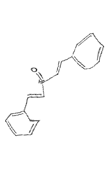 O=[PH](C=Cc1ccccc1)C=Cc1ccccc1